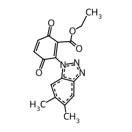 CCOC(=O)C1=C(n2nnc3cc(C)c(C)cc32)C(=O)C=CC1=O